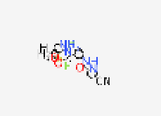 CC1(C)C(N)=N[C@](CF)(c2cc(NC(=O)c3ccc(C#N)cn3)ccc2F)CS1(=O)=O